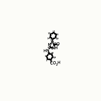 O=C(O)c1ccc(Nc2nn(-c3ccccc3)c(=O)[nH]2)cc1